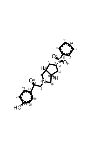 O=C(CN1C[C@H]2C[C@H](S(=O)(=O)c3ccccc3)C[C@H]2C1)c1ccc(O)cc1